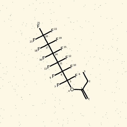 C=C(CC)OC(F)(F)C(F)(F)C(F)(F)C(F)(F)C(F)(F)C(F)(F)F